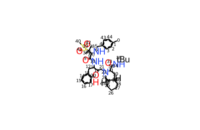 Cc1ccc(CN[C@H](C(=O)NC(Cc2ccccc2)C(O)CN2C[C@H]3CCCC[C@H]3CC2C(=O)NC(C)(C)C)C(C)(C)S(C)(=O)=O)cc1